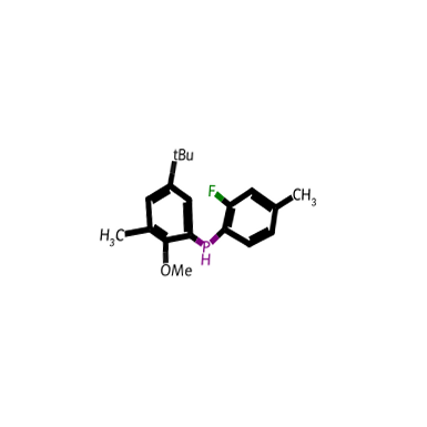 COc1c(C)cc(C(C)(C)C)cc1Pc1ccc(C)cc1F